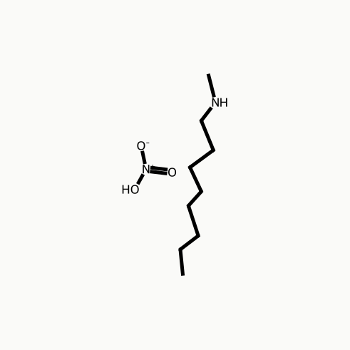 CCCCCCCCNC.O=[N+]([O-])O